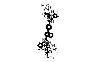 COC(=O)N[C@H](C(=O)N1C[C@@H]2CC[C@@]1(c1nc(-c3ccc(-c4ccc(-c5c[nH]c([C@@]67CC[C@@H](CN6C(=O)[C@@H](NC(=O)OC)C(C)C)C7)n5)c5c4CCC5)cc3)c[nH]1)C2)C(C)C